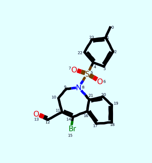 Cc1ccc(S(=O)(=O)N2CCC(C=O)=C(Br)c3ccccc32)cc1